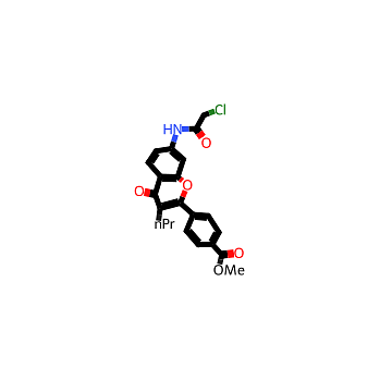 CCCc1c(-c2ccc(C(=O)OC)cc2)oc2cc(NC(=O)CCl)ccc2c1=O